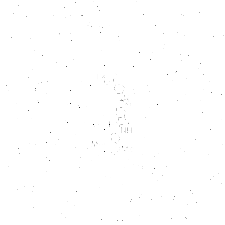 COc1ccc(Nc2nc3cc(S(=O)(=O)Nc4ccc(C(=O)OC(C)C)cc4)ccc3[nH]2)cc1OC